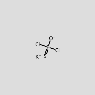 [K+].[O-]P(=S)(Cl)Cl